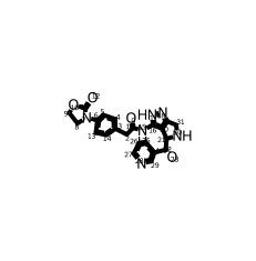 O=C(Cc1ccc(N2CCOC2=O)cc1)Nc1[nH]nc2c1C(C(=O)c1cccnc1)NC2